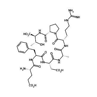 C[C@H](NC(=O)[C@H](CC(=O)O)NC(=O)[C@H](Cc1ccccc1)NC(=O)[C@@H](N)CCC(=O)O)C(=O)N[C@@H](CCCNC(=N)N)C(=O)N1CCC[C@H]1C(=O)N[C@H](C(=O)O)[C@@H](C)O